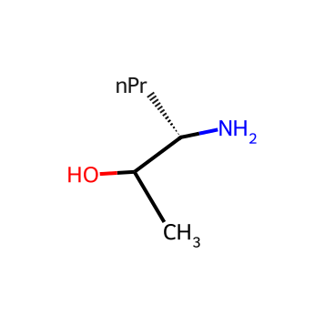 CCC[C@H](N)C(C)O